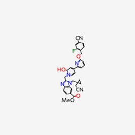 COC(=O)c1ccc2nc(CN3C=CC(c4cccc(OCc5ccc(C#N)cc5F)n4)=CC3O)n(CC3(CC#N)CC3)c2c1